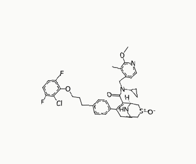 COc1nccc(CN(C(=O)C2=C(c3ccc(CCCOc4c(F)ccc(F)c4Cl)cc3)CC3C[S+]([O-])C[C@H]2N3)C2CC2)c1C